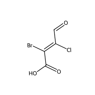 O=CC(Cl)=C(Br)C(=O)O